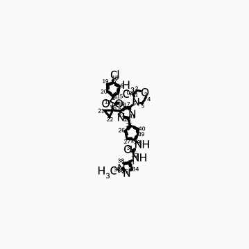 C[C@H]1COCCN1c1cc(C2(S(=O)(=O)c3ccc(Cl)cc3)CC2)nc(-c2ccc(NC(=O)Nc3cnn(C)c3)cc2)n1